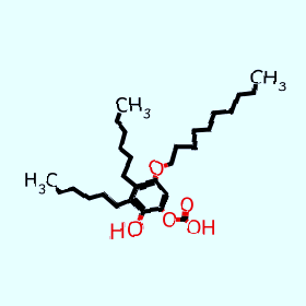 CCCCCCCCCCOc1cc(OC(=O)O)c(O)c(CCCCCC)c1CCCCCC